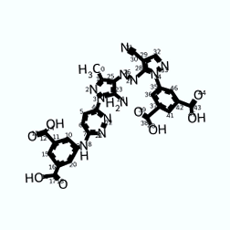 Cc1nn(-c2ccc(Nc3cc(C(=O)O)cc(C(=O)O)c3)nn2)c(N)c1N=Nc1c(C#N)cnn1-c1cc(C(=O)O)cc(C(=O)O)c1